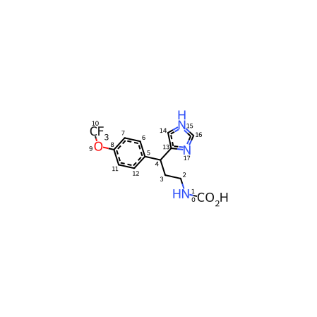 O=C(O)NCCC(c1ccc(OC(F)(F)F)cc1)c1c[nH]cn1